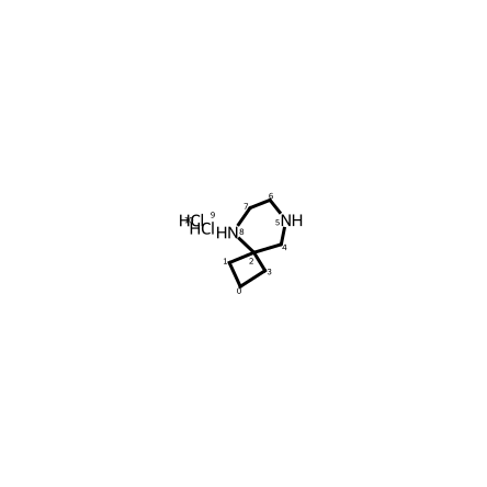 C1CC2(C1)CNCCN2.Cl.Cl